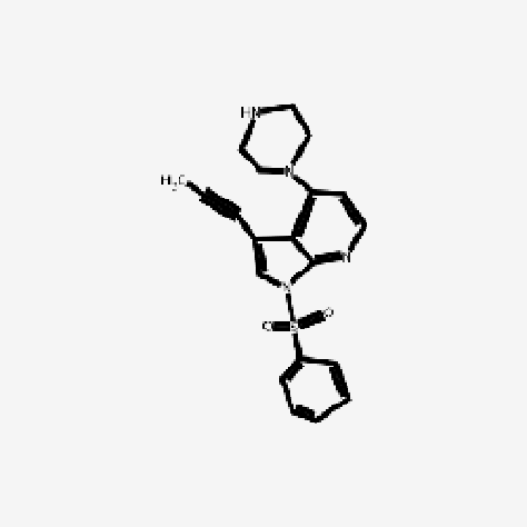 CC#Cc1cn(S(=O)(=O)c2ccccc2)c2nccc(N3CCNCC3)c12